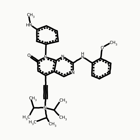 CNc1cccc(-n2c(=O)cc(C#C[Si](C(C)C)(C(C)C)C(C)C)c3cnc(Nc4ccccc4OC)nc32)c1